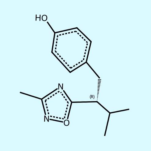 Cc1noc([C@H](Cc2ccc(O)cc2)C(C)C)n1